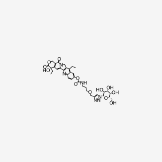 CCc1c2c(nc3ccc(OC(=O)NCCCOCc4cn([C@H]5O[C@@H](CO)[C@H](O)[C@@H](O)[C@@H]5O)nn4)cc13)-c1cc3c(c(=O)n1C2)COC(=O)[C@]3(O)CC